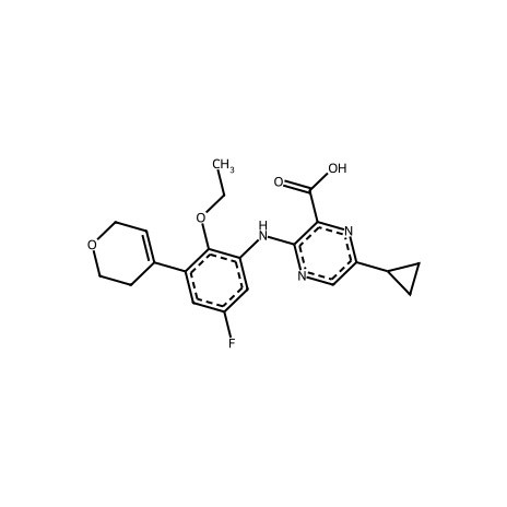 CCOc1c(Nc2ncc(C3CC3)nc2C(=O)O)cc(F)cc1C1=CCOCC1